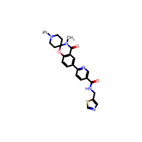 CC(C)N1CCC2(CC1)Oc1ccc(-c3ccc(C(=O)NCc4cncs4)cn3)cc1C(=O)N2C